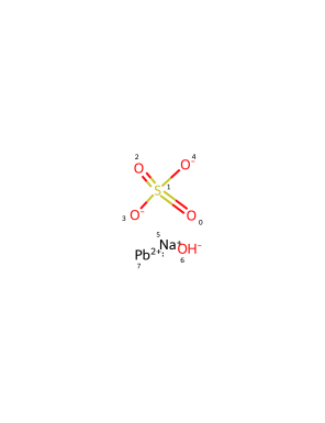 O=S(=O)([O-])[O-].[Na+].[OH-].[Pb+2]